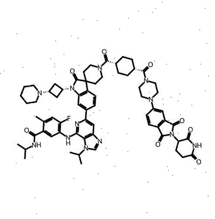 Cc1cc(F)c(Nc2nc(-c3ccc4c(c3)N([C@H]3C[C@@H](N5CCCCC5)C3)C(=O)C43CCN(C(=O)[C@H]4CC[C@@H](C(=O)N5CCN(c6ccc7c(c6)C(=O)N(C6CCC(=O)NC6=O)C7=O)CC5)CC4)CC3)cc3ncn(C(C)C)c23)cc1C(=O)NC(C)C